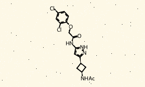 CC(=O)N[C@H]1C[C@@H](c2cc(NC(=O)COc3ccc(Cl)cc3Cl)[nH]n2)C1